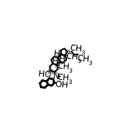 CCCC(C)[C@H]1CC[C@H]2[C@@H]3CCC4C[C@@H](O)[C@H](N(C)c5cc6ccccc6cc5O)C[C@]4(C)[C@H]3CC[C@]12C